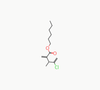 C=C(Cl)C(C)C(=C)C(=O)OCCCCCC